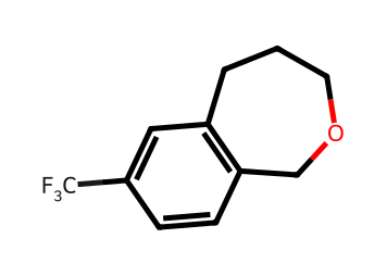 FC(F)(F)c1ccc2c(c1)CCCOC2